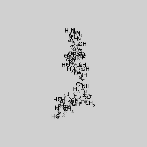 CC(=CCCC(C)[C@H]1CC[C@H]2[C@@H]3[C@H](O)C[C@@H]4C[C@H](O)CC[C@]4(C)[C@H]3C[C@H](O)[C@]12C)C(=O)SCCNC(=O)CCNC(=O)C(O)C(C)(C)COP(=O)(O)OP(=O)(O)OC[C@H]1O[C@@H](n2cnc3c(N)ncnc32)[C@H](O)[C@@H]1OP(=O)(O)O